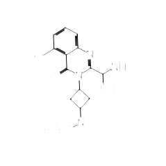 CC(N)c1nc2cccc(Cl)c2c(=O)n1C1CC(NC(=O)O)C1